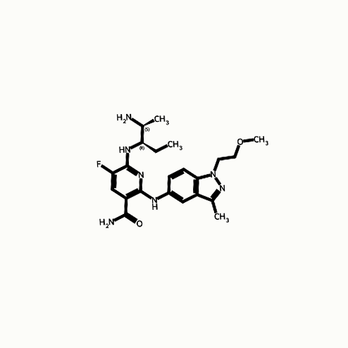 CC[C@@H](Nc1nc(Nc2ccc3c(c2)c(C)nn3CCOC)c(C(N)=O)cc1F)[C@H](C)N